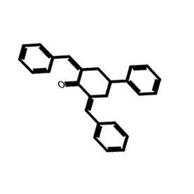 O=C1/C(=C\c2ccccc2)CC(c2ccccc2)C/C1=C\c1ccccc1